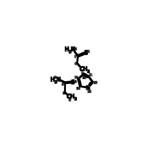 CCC(N)=S.CCC(N)=S.c1ccncc1